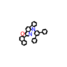 c1ccc(-c2cc(-c3ccccc3)cc(-n3c4ccccc4c4ccc5c(ncc6c5oc5ccc7ccccc7c56)c43)c2)cc1